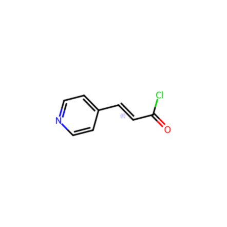 O=C(Cl)/C=C/c1ccncc1